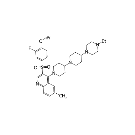 CCN1CCN(C2CCN(C3CCN(c4c(S(=O)(=O)c5ccc(OC(C)C)c(F)c5)cnc5ccc(C)cc45)CC3)CC2)CC1